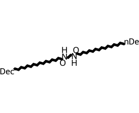 CCCCCCCCCCCCCCCCCCCCCCCCCC(=O)NCCNC(=O)CCCCCCCCCCCCCCCCCCCCCCCCC